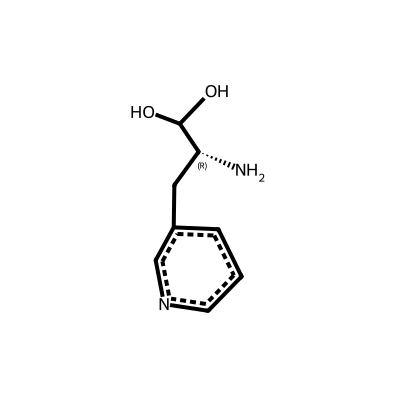 N[C@H](Cc1cccnc1)C(O)O